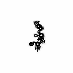 CNc1cn2ncc(Oc3cnc4nc(Nc5cc(CN6CCCC6)cc(C(F)(F)F)c5)n(C)c4c3Cl)c2cn1